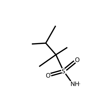 CC(C)C(C)(C)S([NH])(=O)=O